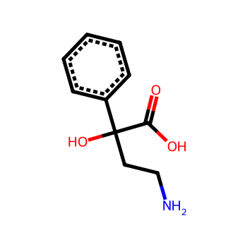 NCCC(O)(C(=O)O)c1ccccc1